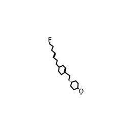 CO[C@H]1CC[C@H](CCC2=CCC(CC/C=C/CCCF)CC2)CC1